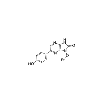 CCOn1c(=O)[nH]c2ncc(-c3ccc(O)cc3)nc21